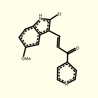 CCc1[nH]c2ccc(OC)cc2c1C=CC(=O)c1ccncc1